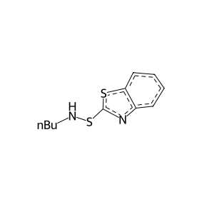 CCCCNSc1nc2ccccc2s1